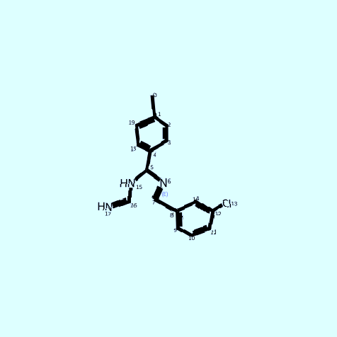 Cc1ccc(C(/N=C/c2cccc(Cl)c2)NC=N)cc1